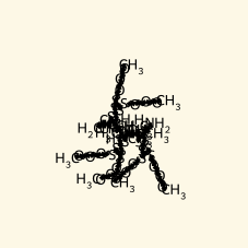 C=CC(C)(C)c1[nH]c(C(C)(C)c2[nH]c(C(C)(C)c3[nH]c(C(C)(C)CN)c4c3SC(=C3SC(SCCOCCOCCOC)=C(SCCOCCOCCOC)S3)S4)c3c2SC(=C2SC(SCCOCCOCCOC)=C(SCCOCCOCCOC)S2)S3)c2c1SC(=C1SC(SCCOCCOCCOC)=C(SCCOCCOCCOC)S1)S2